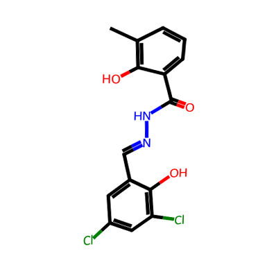 Cc1cccc(C(=O)N/N=C/c2cc(Cl)cc(Cl)c2O)c1O